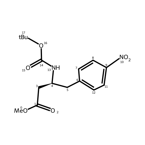 COC(=O)C[C@H](Cc1ccc([N+](=O)[O-])cc1)NC(=O)OC(C)(C)C